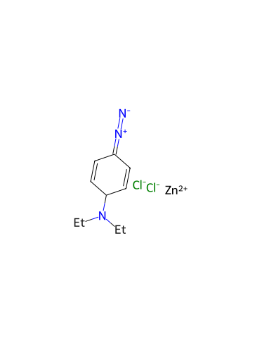 CCN(CC)C1C=CC(=[N+]=[N-])C=C1.[Cl-].[Cl-].[Zn+2]